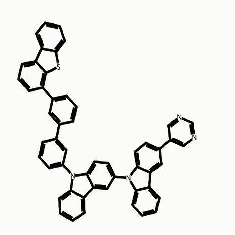 c1cc(-c2cccc(-n3c4ccccc4c4cc(-n5c6ccccc6c6cc(-c7cncnc7)ccc65)ccc43)c2)cc(-c2cccc3c2sc2ccccc23)c1